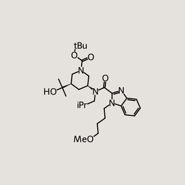 COCCCCn1c(C(=O)N(CC(C)C)[C@H]2C[C@@H](C(C)(C)O)CN(C(=O)OC(C)(C)C)C2)nc2ccccc21